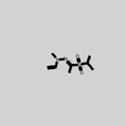 C=CN(C)/N=C(\C)S(=O)(=O)C(C)C